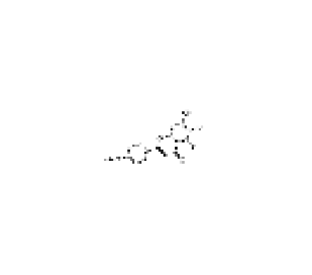 COc1ccc(-c2cc(=O)c3c(O)c(O)c(O)cc3o2)cc1